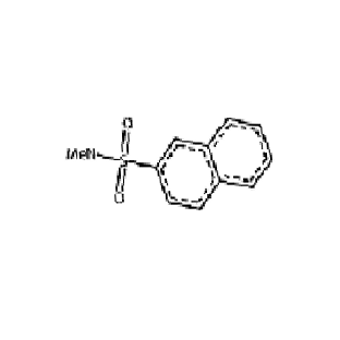 [CH2]NS(=O)(=O)c1ccc2ccccc2c1